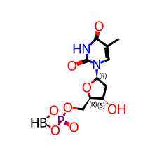 Cc1cn([C@H]2C[C@H](O)[C@@H](COP3(=O)OBO3)O2)c(=O)[nH]c1=O